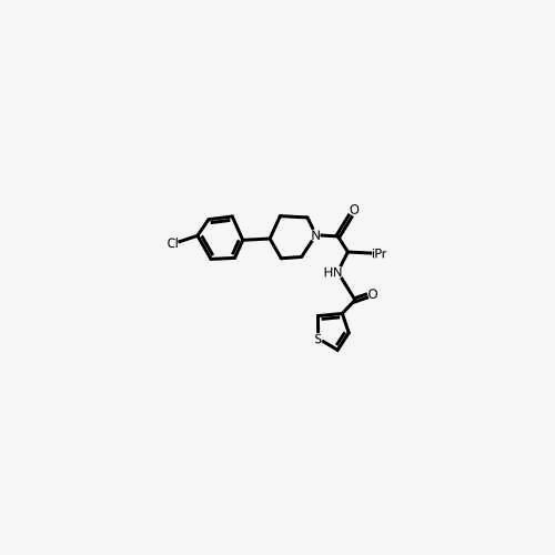 CC(C)C(NC(=O)c1ccsc1)C(=O)N1CCC(c2ccc(Cl)cc2)CC1